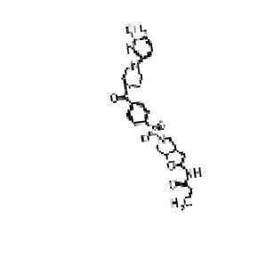 C=CC(=O)NC1CC2CN(S(=O)(=O)c3ccc(C(=O)N4CCN(c5cccc(C)n5)CC4)cc3)CC2O1